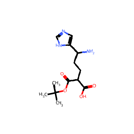 CC(C)(C)OC(=O)C(CCC(N)c1cnc[nH]1)C(=O)O